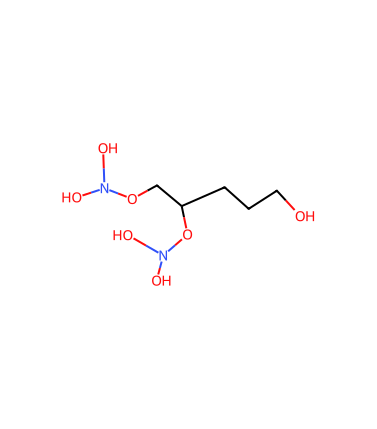 OCCCC(CON(O)O)ON(O)O